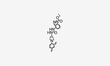 CCOC(=O)n1ncc2c(NC(=O)NC3C4CN(c5ccc(F)cc5F)CC43)cccc21